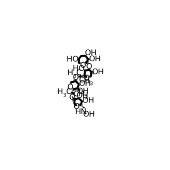 CC(C)(O[C@@H]1CO[C@@H](C(C)(C)O[C@@H]2CO[C@@H](CNO)C(O)C2O)C(O)C1O)[C@@H]1OC[C@@H](O)C(O[C@@H]2OCC(O)CC(O)C2O)C1O